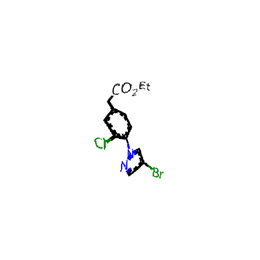 CCOC(=O)Cc1ccc(-n2cc(Br)cn2)c(Cl)c1